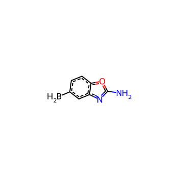 Bc1ccc2oc(N)nc2c1